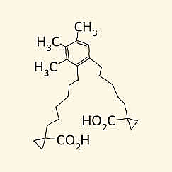 Cc1cc(CCCCCC2(C(=O)O)CC2)c(CCCCCCC2(C(=O)O)CC2)c(C)c1C